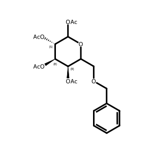 CC(=O)OC1OC(COCc2ccccc2)[C@@H](OC(C)=O)[C@@H](OC(C)=O)[C@@H]1OC(C)=O